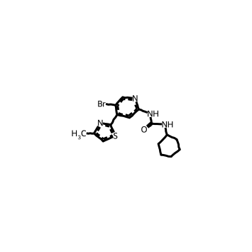 Cc1csc(-c2cc(NC(=O)NC3CCCCC3)ncc2Br)n1